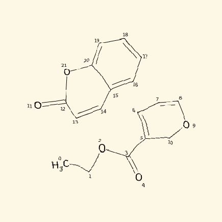 CCOC(=O)C1=CC=COC1.O=c1ccc2ccccc2o1